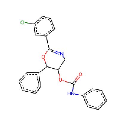 O=C(Nc1ccccc1)OC1CN=C(c2cccc(Cl)c2)OC1c1ccccc1